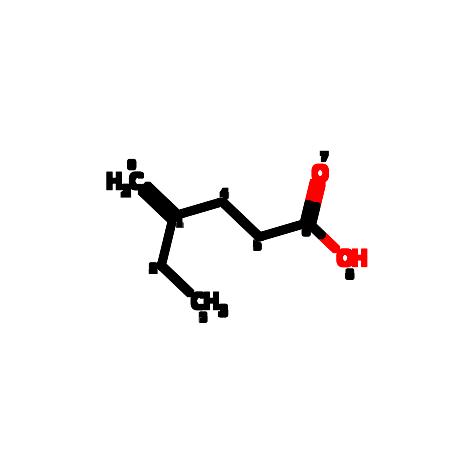 C=C(CC)CCC(=O)O